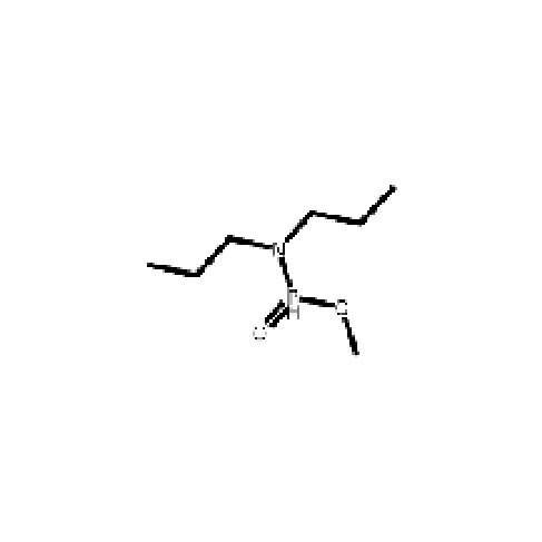 CCCN(CCC)[PH](=O)OC